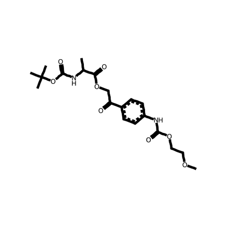 COCCOC(=O)Nc1ccc(C(=O)COC(=O)C(C)NC(=O)OC(C)(C)C)cc1